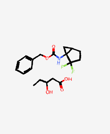 CCC(O)CC(=O)O.O=C(NC12CC1CCC2(F)F)OCc1ccccc1